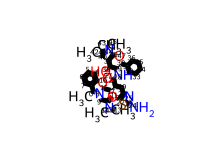 C[C@@H](c1ccccc1)N(CC(=O)N(C)C)C(=O)C[C@@H](Cc1csc(N)n1)C(=O)N[C@@H](CC1CCCCC1)[C@@H](O)[C@@H]1CC(C)(C)N(C)C1=O